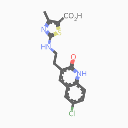 Cc1nc(NCCc2cc3cc(Cl)ccc3[nH]c2=O)sc1C(=O)O